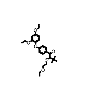 CCOCCSC(C(=O)c1ccc(Oc2ccc(OCC)cc2OCC)cc1)C(C)(C)C